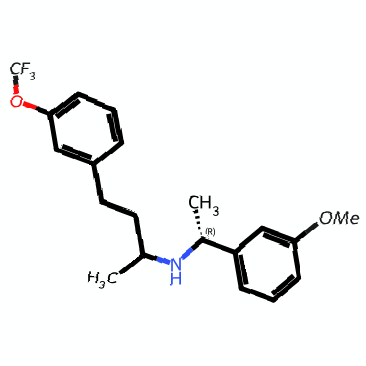 COc1cccc([C@@H](C)NC(C)CCc2cccc(OC(F)(F)F)c2)c1